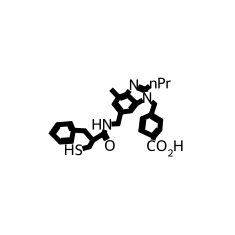 CCCc1nc2c(C)cc(CNC(=O)C(CS)Cc3ccccc3)cc2n1Cc1ccc(C(=O)O)cc1